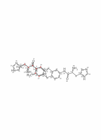 C=C/C=C1\C(=C/NC(=O)[C@@H](N)Cc2c[nH]cn2)C2c3cc(NC(=O)CN)ccc3C1c1ccc(NC(=O)[C@@H](N)Cc3cnc[nH]3)cc12